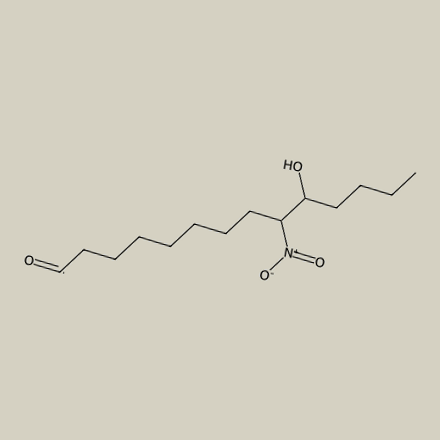 CCCCC(O)C(CCCCCCC[C]=O)[N+](=O)[O-]